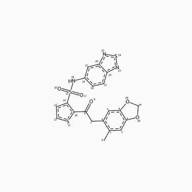 Cc1cc2c(cc1CC(=O)c1sccc1S(=O)(=O)Nc1ccc3nsnc3c1)OCO2